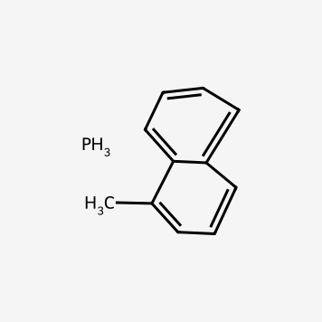 Cc1cccc2ccccc12.P